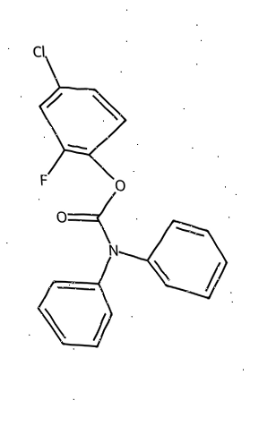 O=C(Oc1ccc(Cl)cc1F)N(c1ccccc1)c1ccccc1